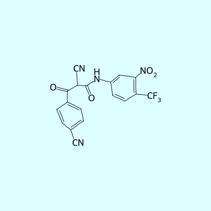 N#Cc1ccc(C(=O)C(C#N)C(=O)Nc2ccc(C(F)(F)F)c([N+](=O)[O-])c2)cc1